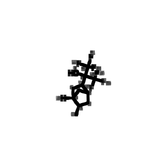 C[C@@H]1CC2C[C@H]1CC2C(O)(C(F)(F)F)C(F)(F)F